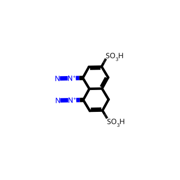 [N-]=[N+]=C1C=C(S(=O)(=O)O)C=C2CC(S(=O)(=O)O)=CC(=[N+]=[N-])C21